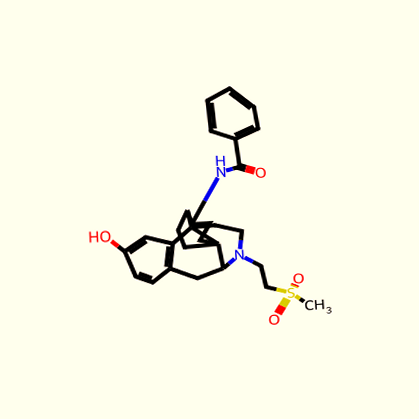 CS(=O)(=O)CCN1CCC23c4cc(O)ccc4CC1C21CCC(NC(=O)c2ccccc2)C3CC1